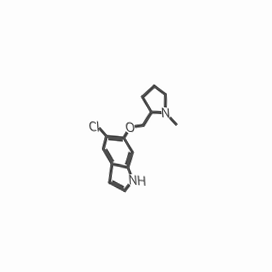 CN1CCCC1COc1cc2[nH]ccc2cc1Cl